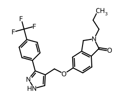 CCCN1Cc2cc(OCc3c[nH]nc3-c3ccc(C(F)(F)F)cc3)ccc2C1=O